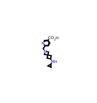 O=C(O)c1ccc(CN2CC3(CC(NC4CC4)C3)C2)nc1